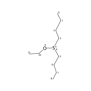 CCCC[S+](CCCC)OCC